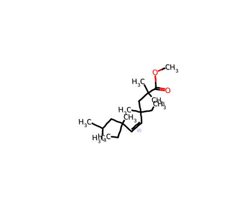 CCC(C)(/C=C\C(C)(CC)CC(C)(C)C(=O)OC)CC(C)C